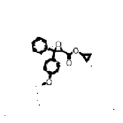 COc1ccc(C2(c3ccccc3)OC2C(=O)OC2CC2)cc1